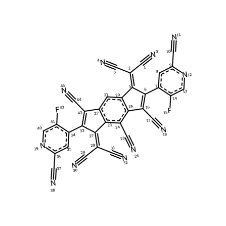 N#CC(C#N)=C1C(c2cc(C#N)ncc2F)=C(C#N)c2c1cc1c(c2C#N)C(=C(C#N)C#N)C(c2cc(C#N)ncc2F)=C1C#N